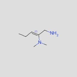 CC/C=C(/CN)N(C)C